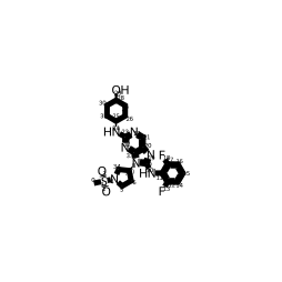 CS(=O)(=O)N1CC[C@@H](n2c(Nc3c(F)cccc3F)nc3cnc(N[C@H]4CC[C@H](O)CC4)nc32)C1